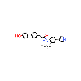 O=C(CCc1ccc(-c2ccc(O)cc2)cc1)NC1=C(C(=O)O)CC(c2ccncc2)CC1